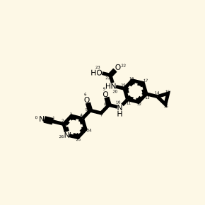 N#Cc1cc(C(=O)CC(=O)Nc2cc(C3CC3)ccc2NC(=O)O)ccn1